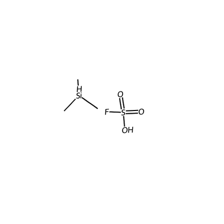 C[SiH](C)C.O=S(=O)(O)F